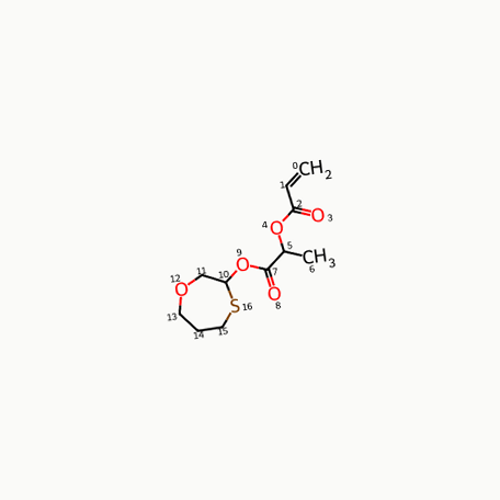 C=CC(=O)OC(C)C(=O)OC1COCCCS1